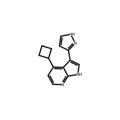 c1cc(C2CCC2)c2c(-c3cc[nH]n3)c[nH]c2n1